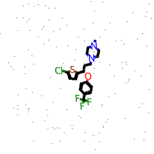 CN1CCN(CCC(Oc2ccc(C(F)(F)F)cc2)c2ccc(Cl)s2)CC1